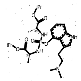 CC(C)OC(=O)[C@H](C)NP(=O)(N[C@H](C)C(=O)OC(C)C)Oc1cccc2[nH]cc(CCN(C)C)c12